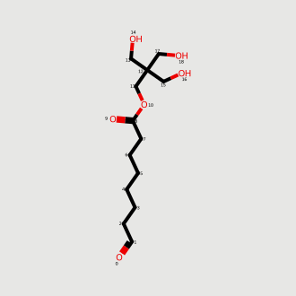 O=CCCCCCCC(=O)OCC(CO)(CO)CO